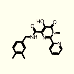 Cc1ccc(CNC(=O)c2nc(-c3ccccn3)n(C)c(=O)c2O)cc1C